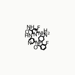 NC(=O)c1cc(F)c(NC2CCCC[C@@H]2N)nc1Nc1cncc(NC(=O)c2cccc(F)c2)c1